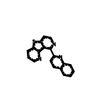 c1ccc2nc(-c3nccc4sc5cccnc5c34)ccc2c1